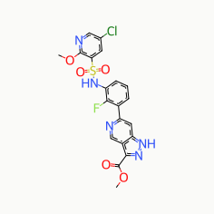 COC(=O)c1n[nH]c2cc(-c3cccc(NS(=O)(=O)c4cc(Cl)cnc4OC)c3F)ncc12